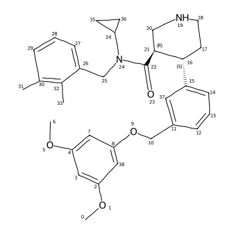 COc1cc(OC)cc(OCc2cccc([C@H]3CCNC[C@@H]3C(=O)N(Cc3cccc(C)c3C)C3CC3)c2)c1